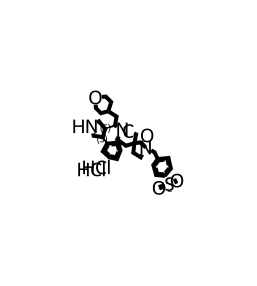 CS(=O)(=O)c1ccc(CN2CCC3(CCN(C(CC4CCOCC4)[C@@H]4CNC[C@@H]4c4ccccc4)CC3)C2=O)cc1.Cl.Cl